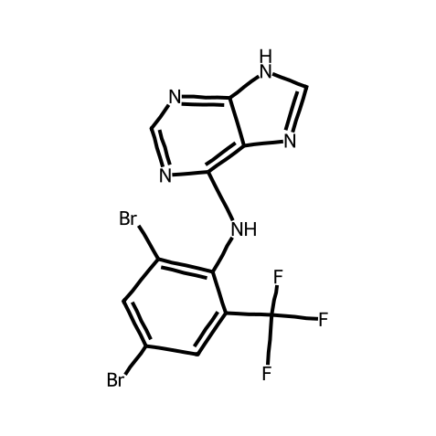 FC(F)(F)c1cc(Br)cc(Br)c1Nc1ncnc2[nH]cnc12